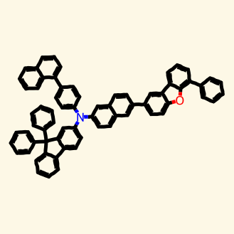 c1ccc(-c2cccc3c2oc2ccc(-c4ccc5cc(N(c6ccc(-c7cccc8ccccc78)cc6)c6ccc7c(c6)C(c6ccccc6)(c6ccccc6)c6ccccc6-7)ccc5c4)cc23)cc1